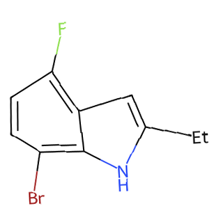 CCc1cc2c(F)ccc(Br)c2[nH]1